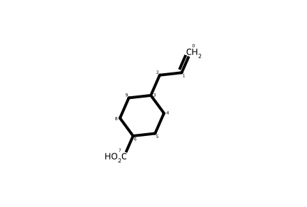 C=CCC1[CH]CC(C(=O)O)CC1